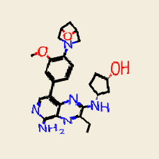 CCc1nc2c(N)ncc(-c3ccc(N4CC5CC(C4)O5)c(OC)c3)c2nc1N[C@@H]1CC[C@H](O)C1